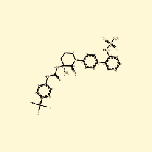 C[C@]1(NC(=O)Nc2ccc(C(F)(F)F)cn2)CCCN(c2ccc(-c3ccccc3NS(C)(=O)=O)cc2)C1=O